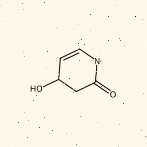 O=C1CC(O)C=C[N]1